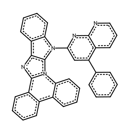 c1ccc(-c2cc(-n3c4ccccc4c4nc5c6ccccc6c6ccccc6n5c43)nc3ncccc23)cc1